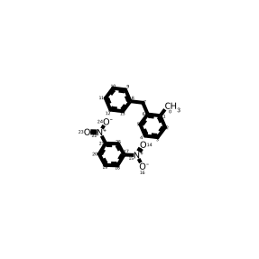 Cc1ccccc1Cc1ccccc1.O=[N+]([O-])c1cccc([N+](=O)[O-])c1